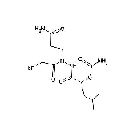 CC(C)CC(OC(N)=O)C(=O)NN(CCC(N)=O)C(=O)CBr